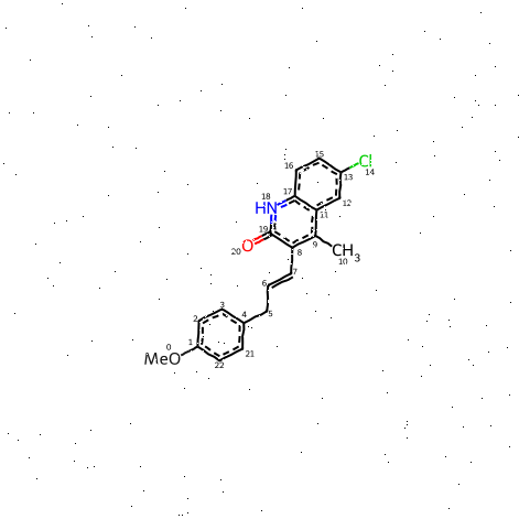 COc1ccc(C/C=C/c2c(C)c3cc(Cl)ccc3[nH]c2=O)cc1